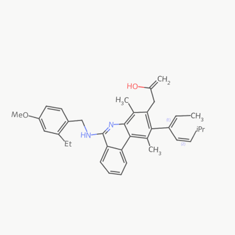 C=C(O)Cc1c(C(/C=C\C(C)C)=C/C)c(C)c2c(nc(NCc3ccc(OC)cc3CC)c3ccccc32)c1C